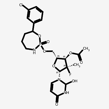 CC(=O)O[C@@H]1[C@@H](COP2(=O)NCCCC(c3cccc(Cl)c3)O2)O[C@@H](N2C=CC(=O)NC2O)[C@]1(C)F